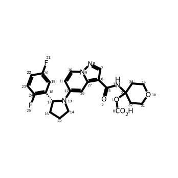 O=C(O)OC1(NC(=O)c2cnn3ccc(N4CCC[C@@H]4c4cc(F)ccc4F)cc23)CCOCC1